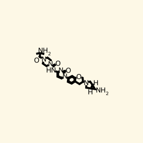 CC(C)(N)C(=O)N1CCN(C(=O)Nc2ccn(-c3ccc4c(c3)OCC(N3C[C@@H]5[C@@H](N)[C@@H]5C3)C4)c(=O)n2)CC1